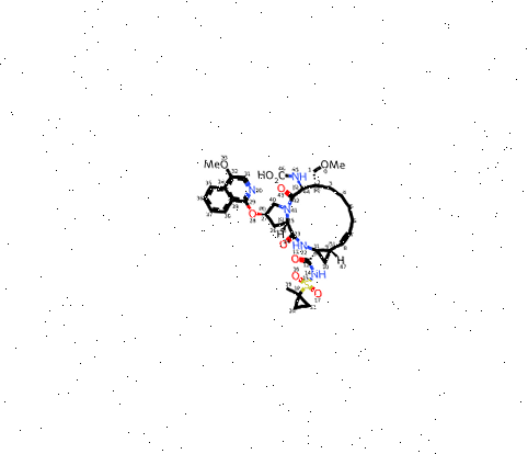 COC[C@@H]1CCCCC=C[C@@H]2C[C@@]2(C(=O)NS(=O)(=O)C2(C)CC2)NC(=O)[C@@H]2C[C@@H](Oc3ncc(OC)c4ccccc34)CN2C(=O)[C@H]1NC(=O)O